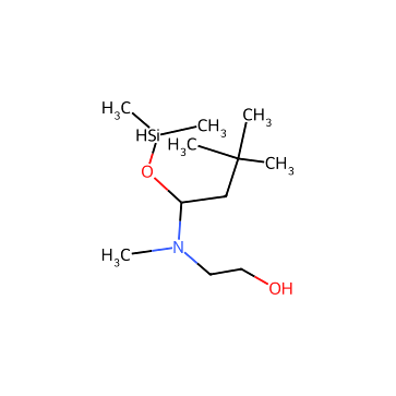 CN(CCO)C(CC(C)(C)C)O[SiH](C)C